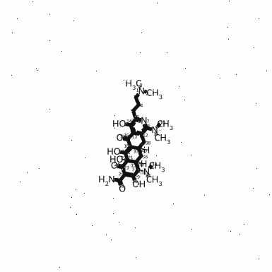 CN(C)CCCc1nc(N(C)C)c2c(c1O)C(=O)C1=C(O)[C@]3(O)C(=O)C(C(N)=O)=C(O)[C@@H](N(C)C)[C@@H]3C[C@@H]1C2